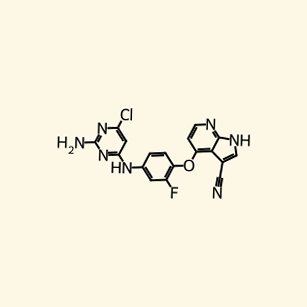 N#Cc1c[nH]c2nccc(Oc3ccc(Nc4cc(Cl)nc(N)n4)cc3F)c12